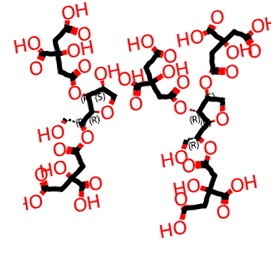 O=C(O)CC(O)(CC(=O)O[C@H]1[C@@H]([C@@H](CO)OC(=O)CC(O)(CC(=O)O)C(=O)O)OC[C@@H]1O)C(=O)O.O=C(O)CC(O)(CC(=O)O[C@H]1[C@@H]([C@@H](CO)OC(=O)CC(O)(CC(=O)O)C(=O)O)OC[C@@H]1OC(=O)CC(O)(CC(=O)O)C(=O)O)C(=O)O